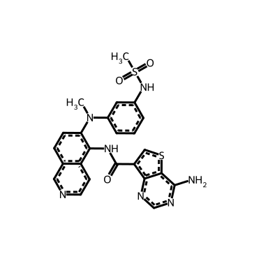 CN(c1cccc(NS(C)(=O)=O)c1)c1ccc2cnccc2c1NC(=O)c1csc2c(N)ncnc12